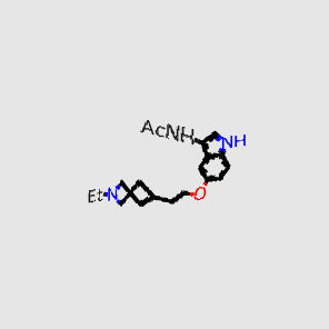 CCN1CC2(CC(CCOc3ccc4[nH]cc(NC(C)=O)c4c3)C2)C1